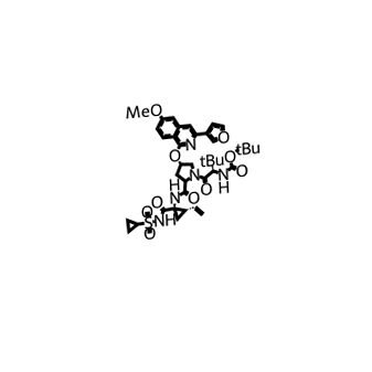 C=C[C@@H]1C[C@]1(NC(=O)C1C[C@@H](Oc2nc(-c3ccoc3)cc3cc(OC)ccc23)CN1C(=O)[C@@H](NC(=O)OC(C)(C)C)C(C)(C)C)C(=O)NS(=O)(=O)C1CC1